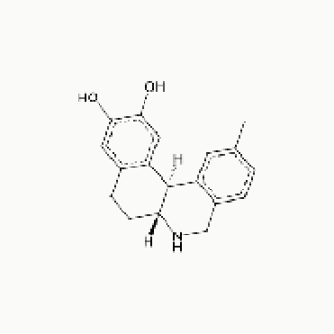 Cc1ccc2c(c1)[C@@H]1c3cc(O)c(O)cc3CC[C@H]1NC2